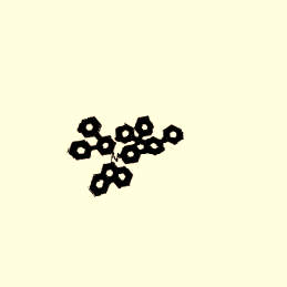 c1ccc(-c2ccc3c(c2)C(c2ccccc2)(c2ccccc2)c2cc(N(c4ccc(-c5ccccc5)c(-c5ccccc5)c4)c4cc5ccccc5c5ccccc45)ccc2-3)cc1